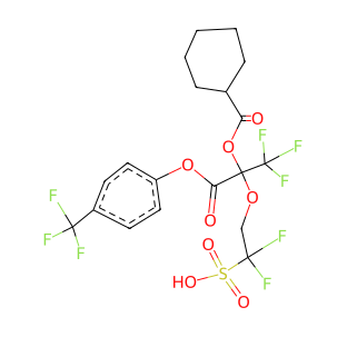 O=C(OC(OCC(F)(F)S(=O)(=O)O)(C(=O)Oc1ccc(C(F)(F)F)cc1)C(F)(F)F)C1CCCCC1